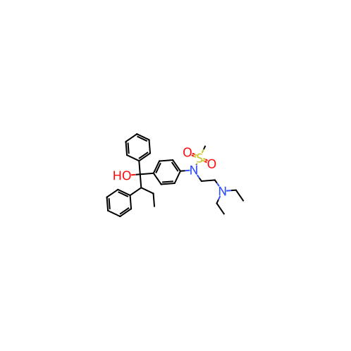 CCC(c1ccccc1)C(O)(c1ccccc1)c1ccc(N(CCN(CC)CC)S(C)(=O)=O)cc1